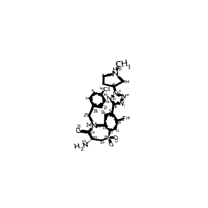 CN1CCC(n2nnc(-c3cc4c(cc3F)S(=O)(=O)C[C@H](N)C(=O)N4Cc3ccc(Cl)cc3)n2)C1